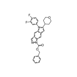 O=C(OCc1ccccc1)n1ncc2cc3c(cc(C4CCOCC4)n3-c3ccc(F)c(F)c3)cc21